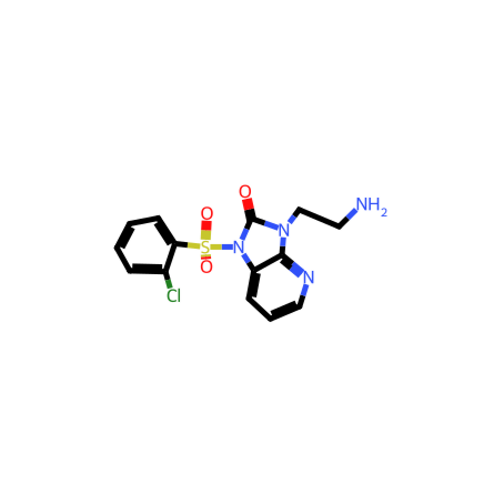 NCCn1c(=O)n(S(=O)(=O)c2ccccc2Cl)c2cccnc21